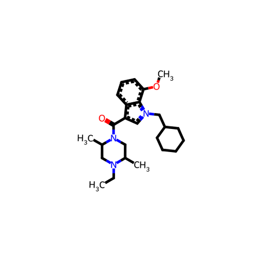 CCN1CC(C)N(C(=O)c2cn(CC3CCCCC3)c3c(OC)cccc23)CC1C